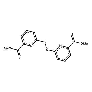 COC(=O)c1cccc(SSc2cccc(C(=O)OC)n2)n1